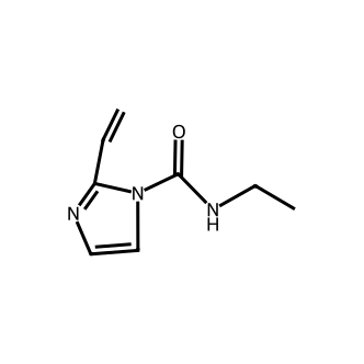 C=Cc1nccn1C(=O)NCC